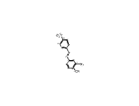 N#Cc1ccc(N=Nc2ccc([N+](=O)[O-])cc2)cc1O